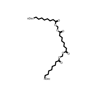 CCCCCCCCCCCCCCCCCC(=O)OCOC(=O)CCCCCCC(=O)OCOC(=O)CCCCCCCCCCCCCCCCC